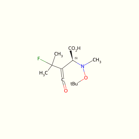 CN(OC(C)(C)C)[C@H](C(=O)O)C(=C=O)C(C)(C)F